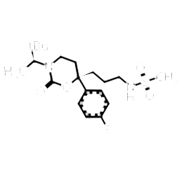 C[C@H](N1CC[C@](CCCNS(C)(=O)=O)(c2ccc(F)cc2)OC1=O)C(C)(C)C